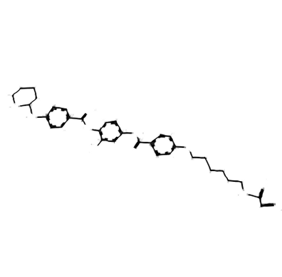 C=CC(=O)OCCCCCCOc1ccc(C(=O)Oc2ccc(OC(=O)c3ccc(OC4CCCCO4)cc3)c(C)c2)cc1